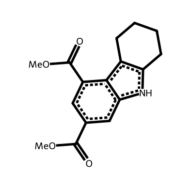 COC(=O)c1cc(C(=O)OC)c2c3c([nH]c2c1)CCCC3